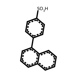 O=S(=O)(O)c1ccc(-c2cccc3ccccc23)cc1